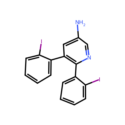 Nc1cnc(-c2ccccc2I)c(-c2ccccc2I)c1